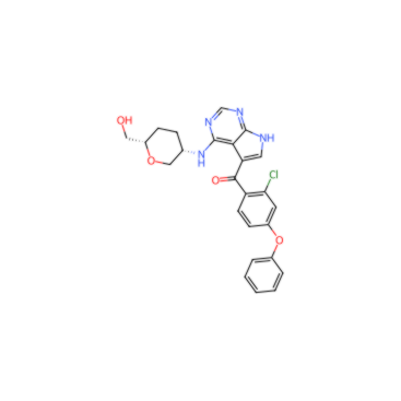 O=C(c1ccc(Oc2ccccc2)cc1Cl)c1c[nH]c2ncnc(N[C@H]3CC[C@@H](CO)OC3)c12